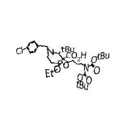 CCOP1(=O)CCN(Cc2ccc(Cl)cc2)C(C(C)(C)C)C1(CCCCN(C(=O)OC(C)(C)C)C(=O)OC(C)(C)C)C(=O)O